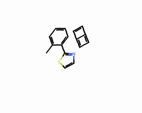 Cc1ccccc1-c1nccs1.c1cc2ccc1-2